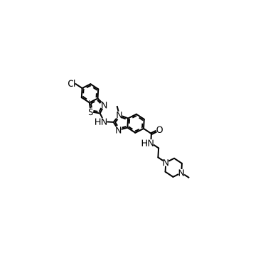 CN1CCN(CCNC(=O)c2ccc3c(c2)nc(Nc2nc4ccc(Cl)cc4s2)n3C)CC1